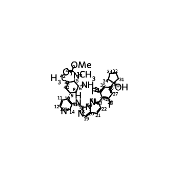 COC(=O)N(C)[C@@H]1[C@H](N)C[C@H](c2ccncc2Nc2ncc3ccc(-c4c(F)cc(C5(O)CCCC5)cc4F)nn23)C[C@@H]1C